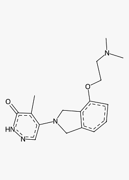 Cc1c(N2Cc3cccc(OCCN(C)C)c3C2)cn[nH]c1=O